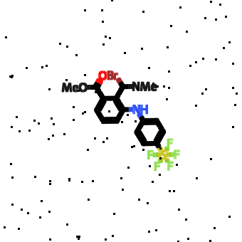 CNC(Br)c1c(Nc2ccc(S(F)(F)(F)(F)F)cc2)cccc1C(=O)OC